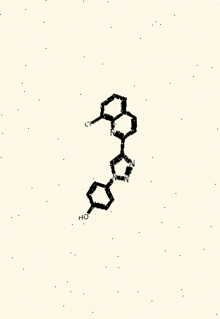 Oc1ccc(-n2cc(-c3ccc4cccc(Cl)c4n3)nn2)cc1